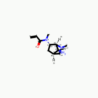 C=CC(=O)N(C)[C@H]1C[C@@H]2CN(C)[C@H]1[C@@H]2N